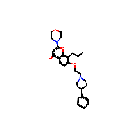 CCCc1c(OCCN2CCC(c3ccccc3)CC2)ccc2c(=O)cc(N3CCOCC3)oc12